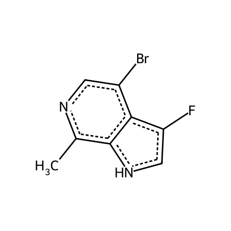 Cc1ncc(Br)c2c(F)c[nH]c12